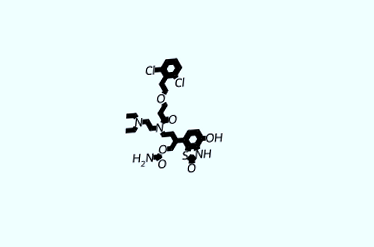 CCN(CC)CCN(CCC(COC(N)=O)c1ccc(O)c2[nH]c(=O)sc12)C(=O)CCOCCc1c(Cl)cccc1Cl